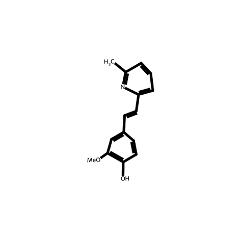 COc1cc(/C=C/c2cccc(C)n2)ccc1O